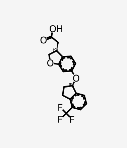 O=C(O)C[C@@H]1COc2cc(O[C@@H]3CCc4c3cccc4C(F)(F)F)ccc21